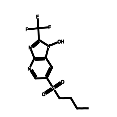 CCCCS(=O)(=O)c1cnc2nc(C(F)(F)F)n(O)c2c1